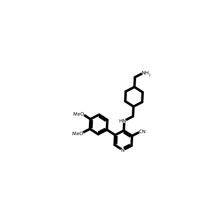 COc1ccc(-c2cncc(C#N)c2NCC2CCC(CN)CC2)cc1OC